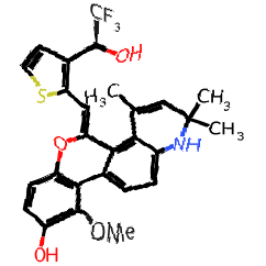 COc1c(O)ccc2c1-c1ccc3c(c1/C(=C/c1sccc1[C@H](O)C(F)(F)F)O2)C(C)=CC(C)(C)N3